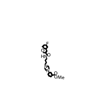 COC(=O)c1cccc(N2CCN(CCCCNC(=O)C3=Cc4cc(F)ccc4OC3)CC2)c1